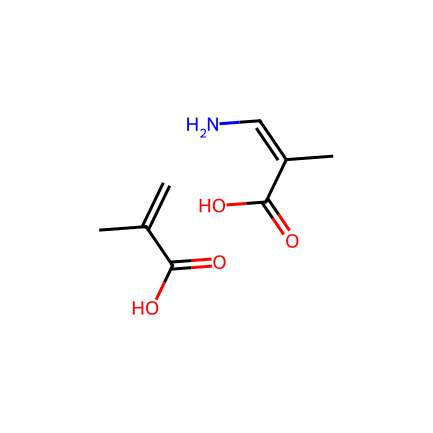 C=C(C)C(=O)O.CC(=CN)C(=O)O